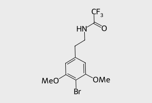 COc1cc(CCNC(=O)C(F)(F)F)cc(OC)c1Br